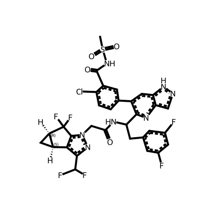 CS(=O)(=O)NC(=O)c1cc(-c2cc3[nH]ncc3nc2C(Cc2cc(F)cc(F)c2)NC(=O)Cn2nc(C(F)F)c3c2C(F)(F)[C@@H]2C[C@H]32)ccc1Cl